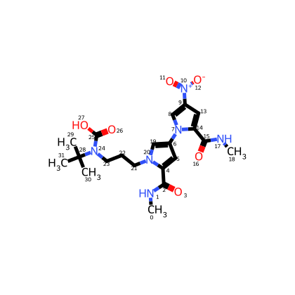 CNC(=O)c1cc(-n2cc([N+](=O)[O-])cc2C(=O)NC)cn1CCCN(C(=O)O)C(C)(C)C